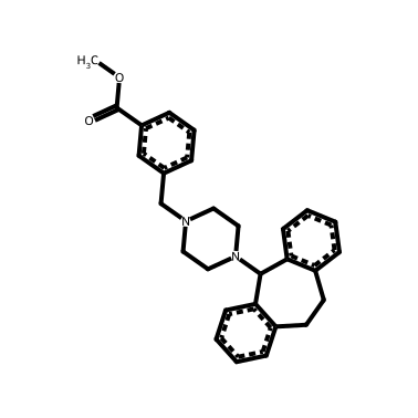 COC(=O)c1cccc(CN2CCN(C3c4ccccc4CCc4ccccc43)CC2)c1